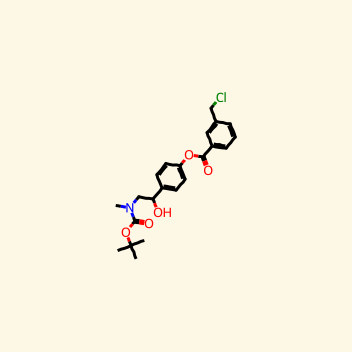 CN(CC(O)c1ccc(OC(=O)c2cccc(CCl)c2)cc1)C(=O)OC(C)(C)C